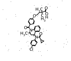 C[C@H]1C[C@@H](N(C(=O)C2CC2)c2ccc(Cl)cc2)c2ccccc2N1C(=O)c1ccc(OCCC(C)(C)C(=O)O)cc1